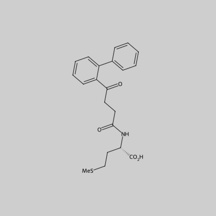 CSCC[C@H](NC(=O)CCC(=O)c1ccccc1-c1ccccc1)C(=O)O